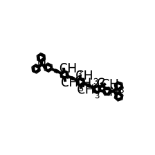 Cc1cc(C#Cc2cc(C)c(C#Cc3ccc4c(c3)C(C)(C)c3cc(-n5c6ccccc6c6ccccc65)ccc3-4)cc2C)c(C)cc1C#Cc1ccc(N(c2ccccc2)c2ccccc2)cc1